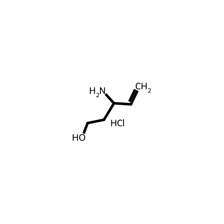 C=CC(N)CCO.Cl